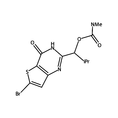 CNC(=O)OC(c1nc2cc(Br)sc2c(=O)[nH]1)C(C)C